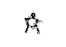 CCCCCC/C1=C(\C)C(=O)N(C)C(CC(C)C)C(=O)NC(C2CCCCC2)C(=O)NC(CN)C(=O)NC(COCCCN(C)C)C(=O)N[C@H](C)O1